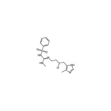 CNC(=NCC[S+]([O-])Cc1[nH]cnc1C)NS(=O)(=O)c1ccccc1